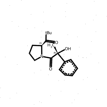 CC(C)(C)C(=O)[C@@H]1CCCN1C(=O)[C@](C)(O)c1ccccc1